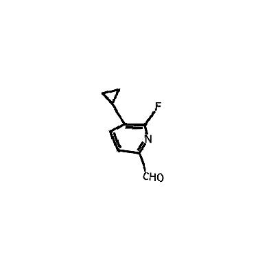 O=Cc1ccc(C2CC2)c(F)n1